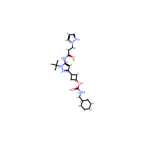 CC(C)(C)n1nc(C2CC(OC(=O)NCC3CCCCC3)C2)cc1NC(=O)CCn1cccn1